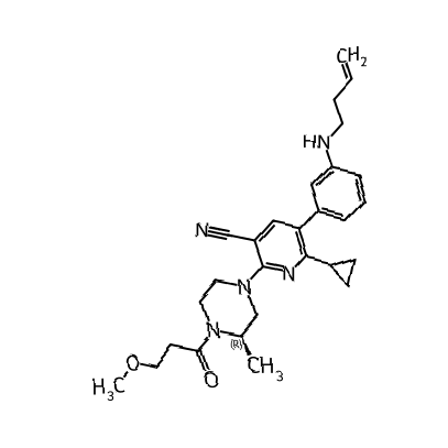 C=CCCNc1cccc(-c2cc(C#N)c(N3CCN(C(=O)CCOC)[C@H](C)C3)nc2C2CC2)c1